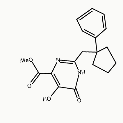 COC(=O)c1nc(CC2(c3ccccc3)CCCC2)[nH]c(=O)c1O